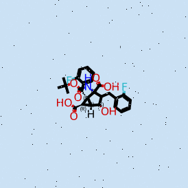 CC(C)(C)OC(=O)N[C@@]1(C(=O)O)C(Cc2ccccc2F)[C@@H](O)[C@@H]2[C@@H](C(=O)O)[C@]21Cc1ccccc1F